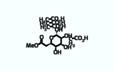 CC(=O)O.CC(=O)O.CC(=O)O.CC(=O)O.COC(=O)C[C@H]1O[C@H](O)[C@@H](O)[C@@H](O)[C@H]1O